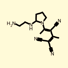 CC(=C(C#N)C#N)/C(C#N)=C(\C)N1CCCC1NCCN